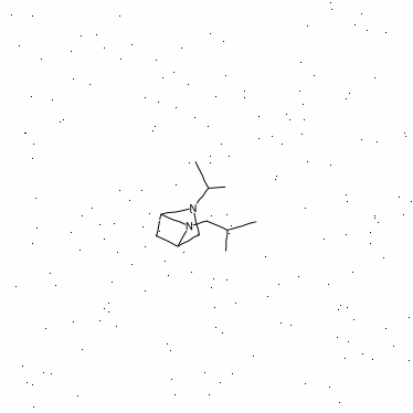 CC(C)CN1C2CC1N(C(C)C)C2